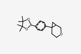 CC1(C)OB(c2ccc(C34CCOCC3C4)cc2)OC1(C)C